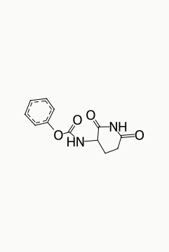 O=C1CCC(NC(=O)Oc2ccccc2)C(=O)N1